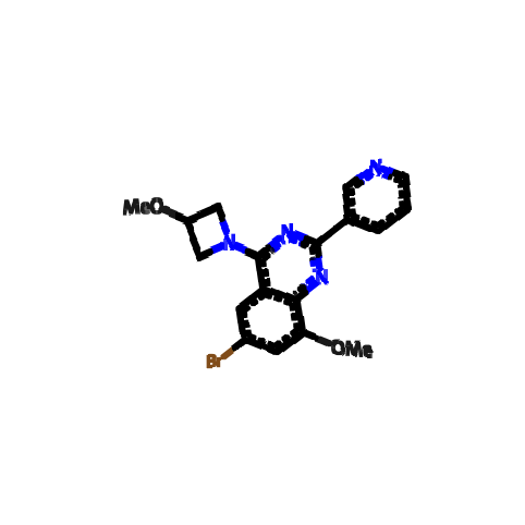 COc1cc(Br)cc2c(N3CC(OC)C3)nc(-c3cccnc3)nc12